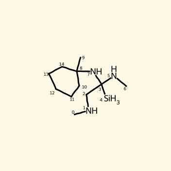 CNCC([SiH3])(NC)NC1(C)CCCCC1